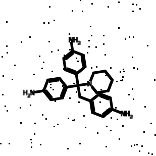 Nc1ccc(CC(c2ccc(N)cc2)(c2ccc(N)cc2)N2CCCCC2)cc1